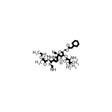 CCOC(C)(C)C(=O)N/C(=N/C=N)c1ccc([C@]2(C#N)O[C@H](COC(=O)CC3CCCCC3)[C@@H](OC(=O)[C@@H](N)C(C)(C)C)[C@H]2O)[nH]1